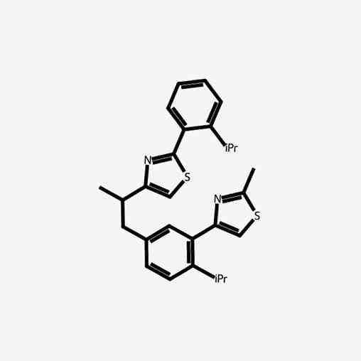 Cc1nc(-c2cc(CC(C)c3csc(-c4ccccc4C(C)C)n3)ccc2C(C)C)cs1